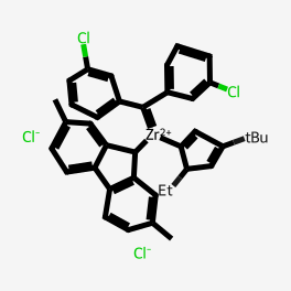 CCC1C=C(C(C)(C)C)C=[C]1[Zr+2](=[C](c1cccc(Cl)c1)c1cccc(Cl)c1)[CH]1c2cc(C)ccc2-c2ccc(C)cc21.[Cl-].[Cl-]